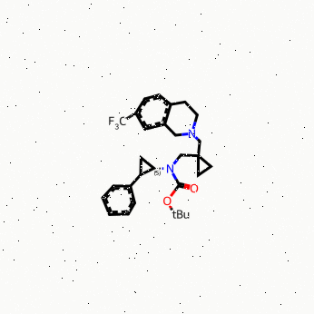 CC(C)(C)OC(=O)N(CC1(CN2CCc3ccc(C(F)(F)F)cc3C2)CC1)[C@H]1CC1c1ccccc1